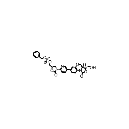 CP(=O)(OCc1ccccc1)OCC1CN(c2ccc(-c3ccc4c(c3)OC[C@H]3[C@H](CO)OC(=O)N43)cn2)C(=O)O1